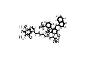 Cn1c(=O)c2c(ncn2CCCCCN2CC(C(=O)O)n3c(c(-c4cccc(C(F)(F)F)c4)c(Cc4cccc5ccccc45)cc3=O)S2(=O)=O)n(C)c1=O